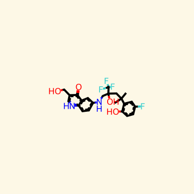 CC(C)(CC(O)(CNc1ccc2[nH]cc(CO)c(=O)c2c1)C(F)(F)F)c1cc(F)ccc1O